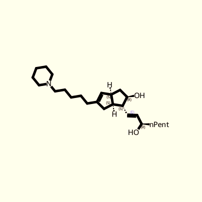 CCCCC[C@@H](O)/C=C/[C@@H]1[C@H]2CC(CCCCCN3CCCCC3)=C[C@H]2C[C@H]1O